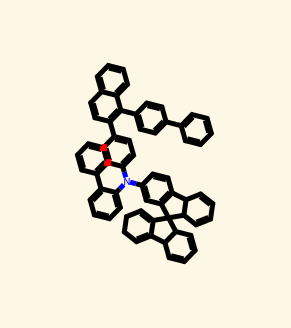 C1=CC2C3=CCCC=C3C3(c4cc(N(c5ccc(-c6ccc7ccccc7c6-c6ccc(-c7ccccc7)cc6)cc5)c5ccccc5-c5ccccc5)ccc4C4C=CC=CC43)C2C=C1